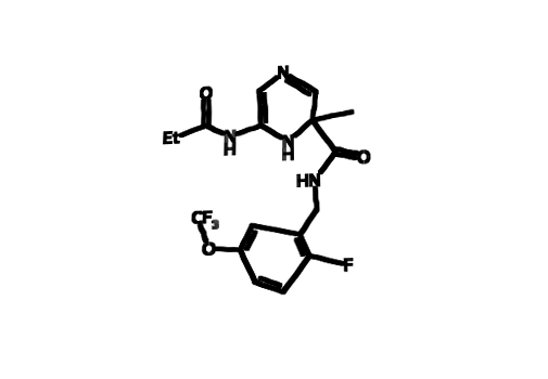 CCC(=O)NC1=CN=CC(C)(C(=O)NCc2cc(OC(F)(F)F)ccc2F)N1